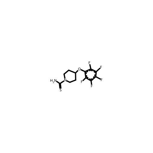 NC(=S)N1CCC(Oc2c(F)c(F)c(F)c(F)c2F)CC1